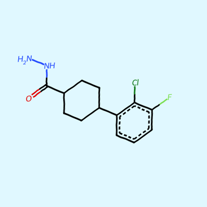 NNC(=O)C1CCC(c2cccc(F)c2Cl)CC1